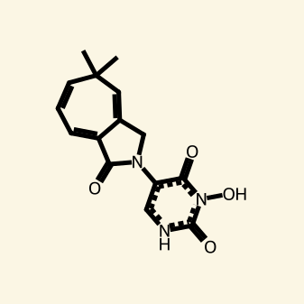 CC1(C)C=CC=C2C(=O)N(c3c[nH]c(=O)n(O)c3=O)CC2=C1